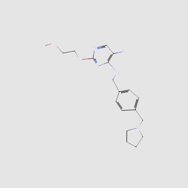 COCCOc1ncc(N)c(NCc2ccc(CN3CCCC3)cc2)n1